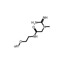 CCCOCCNC(=O)CN(C)C(=N)N